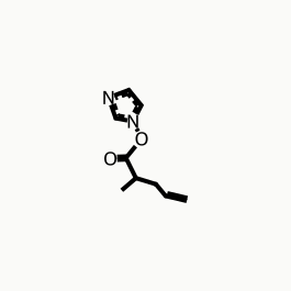 C=CCC(C)C(=O)On1ccnc1